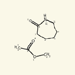 COC(C)=O.O=C1CCCCCN1